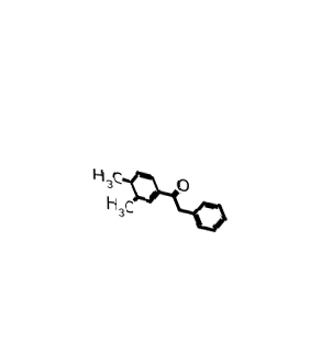 CC1C=CC(C(=O)Cc2ccccc2)=CC1C